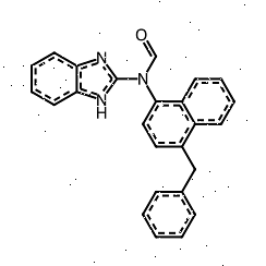 O=CN(c1nc2ccccc2[nH]1)c1ccc(Cc2ccccc2)c2ccccc12